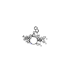 C[C@@H]1CC/C=C\[C@@H]2C[C@@]2(C(=O)NS(=O)(=O)C2CC2)NC(=O)[C@@H]2C[C@@H](Oc3nccc4ccccc34)CN2C(=O)[C@@H](NC(=O)OC(C)(C)C(F)(F)F)[C@H](C)C1